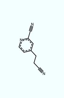 N#CCCc1ccnc(C#N)c1